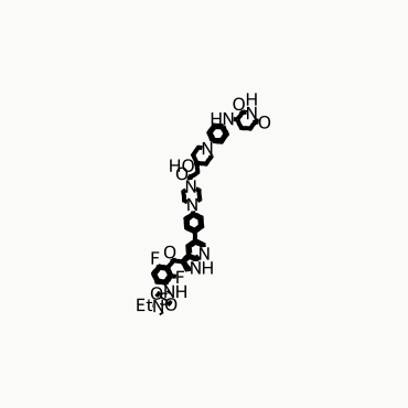 CCN(C)S(=O)(=O)Nc1ccc(F)c(C(=O)c2c[nH]c3ncc(-c4ccc(N5CCN(C(=O)CC6(O)CCN(c7ccc(NC8CCC(=O)NC8=O)cc7)CC6)CC5)cc4)cc23)c1F